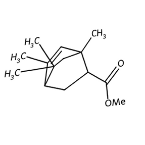 COC(=O)C1CC2C(C)=CC1(C)CC2(C)C